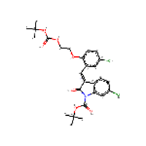 CC(C)(C)OC(=O)OCCOc1ccc(Cl)cc1/C=C1/C(=O)N(C(=O)OC(C)(C)C)c2cc(Cl)ccc21